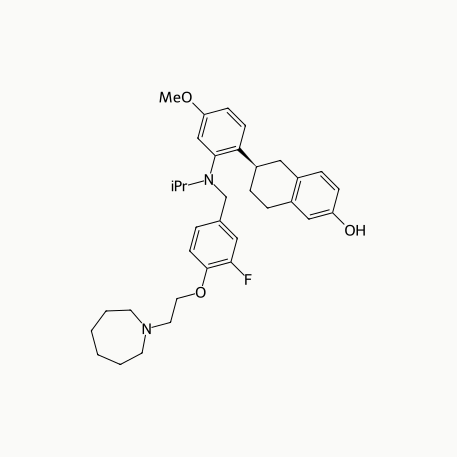 COc1ccc([C@@H]2CCc3cc(O)ccc3C2)c(N(Cc2ccc(OCCN3CCCCCC3)c(F)c2)C(C)C)c1